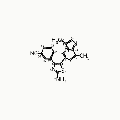 Cc1cc(-c2sc(N)nc2-c2cccc(C#N)c2)cn2c(C)cnc12